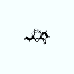 C=CC(=O)OC1N(C)C=CN1CC